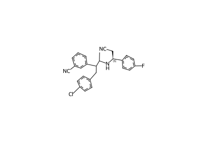 CC(N[C@@H](CC#N)c1ccc(F)cc1)C(Cc1ccc(Cl)cc1)c1cccc(C#N)c1